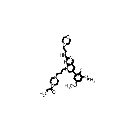 C=CC(=O)N1CCN(CCCN2CC(c3cc(OC)cc(OC)c3Cl)=Cc3cnc(NCCN4CCOCC4)nc32)CC1